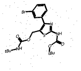 CC(C)(C)NC(=O)OCc1sc(NC(=O)OC(C)(C)C)nc1-c1cccc(Br)c1